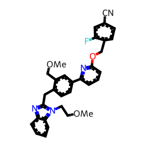 COCCn1c(Cc2ccc(-c3cccc(OCc4ccc(C#N)cc4F)n3)cc2COC)nc2ccccc21